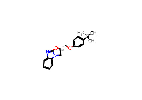 C[Si](C)(C)c1ccc(OC[C@@H]2Cn3c(nc4ccccc43)O2)cc1